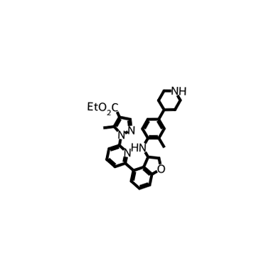 CCOC(=O)c1cnn(-c2cccc(-c3cccc4c3C(Nc3ccc(C5CCNCC5)cc3C)CO4)n2)c1C